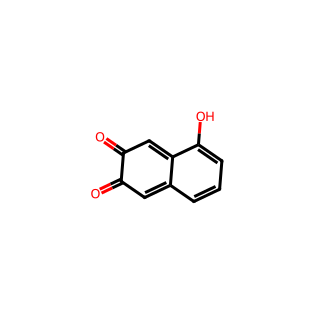 O=C1C=c2cccc(O)c2=CC1=O